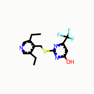 CCc1cncc(CC)c1CSc1nc(O)cc(C(F)(F)F)n1